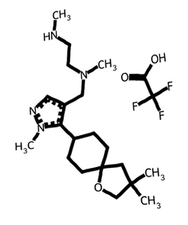 CNCCN(C)Cc1cnn(C)c1C1CCC2(CC1)CC(C)(C)CO2.O=C(O)C(F)(F)F